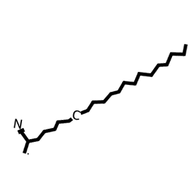 [CH2]C(C#N)CCCCCCCCCCCCCCCCCCCC